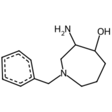 NC1CN(Cc2ccccc2)CCCC1O